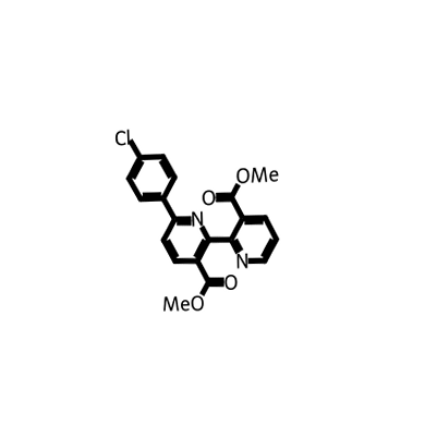 COC(=O)c1cccnc1-c1nc(-c2ccc(Cl)cc2)ccc1C(=O)OC